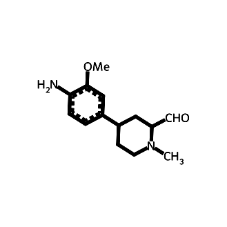 COc1cc(C2CCN(C)C(C=O)C2)ccc1N